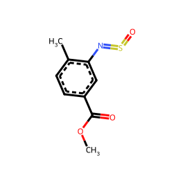 COC(=O)c1ccc(C)c(N=S=O)c1